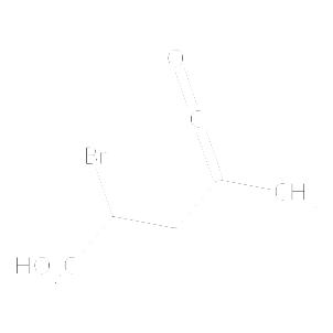 CC(=C=O)CC(Br)C(=O)O